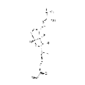 CCCCC(C)(C)[C@H](O)/C=C/[C@H]1CC[C@H]2O[C@@H](C(I)CCCC(=O)OC)C(F)[C@H]12